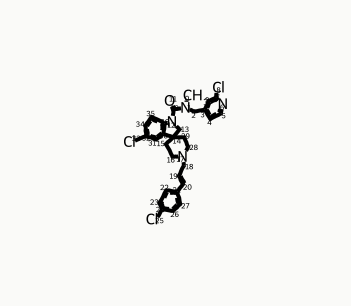 CN(Cc1ccnc(Cl)c1)C(=O)N1CC2(CCN(CC=Cc3ccc(Cl)cc3)CC2)c2cc(Cl)ccc21